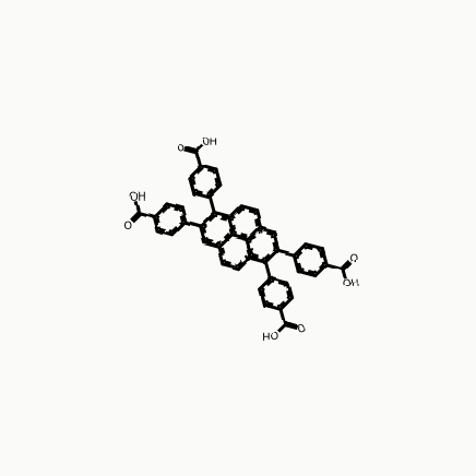 O=C(O)c1ccc(-c2cc3ccc4c(-c5ccc(C(=O)O)cc5)c(-c5ccc(C(=O)O)cc5)cc5ccc(c2-c2ccc(C(=O)O)cc2)c3c54)cc1